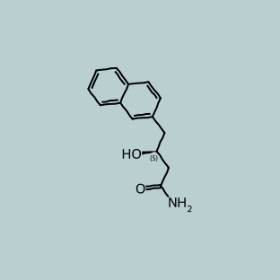 NC(=O)C[C@@H](O)Cc1ccc2ccccc2c1